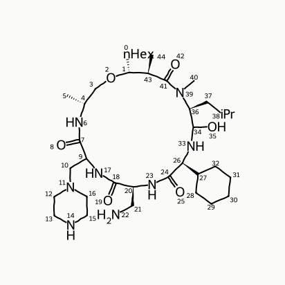 CCCCCC[C@H]1OC[C@@H](C)NC(=O)C(CN2CCNCC2)NC(=O)[C@H](CN)NC(=O)[C@H](C2CCCCC2)NC(O)[C@H](CC(C)C)N(C)C(=O)[C@@H]1C